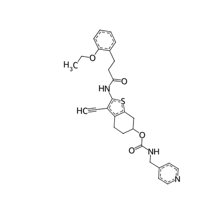 C#Cc1c(NC(=O)CCc2ccccc2OCC)sc2c1CCC(OC(=O)NCc1ccncc1)C2